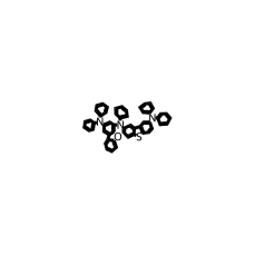 c1ccc(N(c2ccccc2)c2ccc3sc4ccc(N(c5ccccc5)c5cc(N(c6ccccc6)c6ccccc6)cc6c5oc5ccccc56)cc4c3c2)cc1